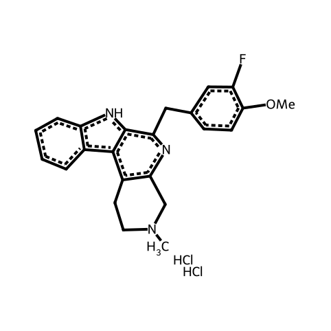 COc1ccc(Cc2nc3c(c4c2[nH]c2ccccc24)CCN(C)C3)cc1F.Cl.Cl